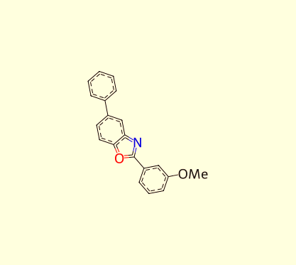 COc1cccc(-c2nc3cc(-c4ccccc4)ccc3o2)c1